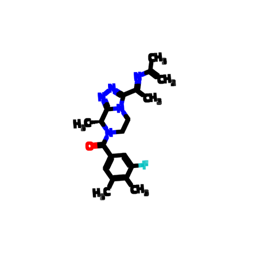 C=C(C)/N=C(\C)c1nnc2n1CCN(C(=O)c1cc(C)c(C)c(F)c1)[C@@H]2C